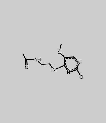 CSc1cnc(Cl)nc1NCCNC(C)=O